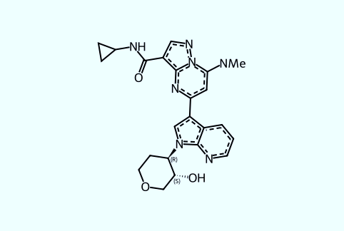 CNc1cc(-c2cn([C@@H]3CCOC[C@H]3O)c3ncccc23)nc2c(C(=O)NC3CC3)cnn12